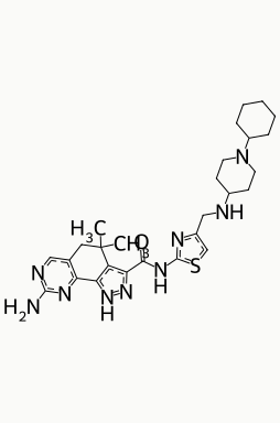 CC1(C)Cc2cnc(N)nc2-c2[nH]nc(C(=O)Nc3nc(CNC4CCN(C5CCCCC5)CC4)cs3)c21